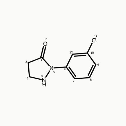 O=C1CCNN1c1cccc(Cl)c1